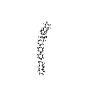 c1ccc2cc3sc(-c4ccc(-c5ccc(-c6ccc7cc8c(cc7c6)sc6c7cc9ccccc9cc7sc86)cc5)cc4)cc3cc2c1